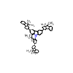 CC1(C)C2=CCC(c3ccc4c(c3)C(C)(C)c3cc(C5=CC6=C(CC5)c5ccccc5C6(C)C)cc5c6cc(-c7ccc8c(c7)-c7ccccc7C8(C)C)ccc6n-4c35)C=C2C2=C1C=CCC2